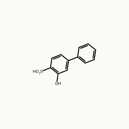 O=S(=O)(O)c1ccc(-c2ccccc2)cc1O